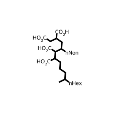 CCCCCCCCCC(CC(CC(=O)O)C(=O)O)C(C(=O)O)C(CCCC(C)CCCCCC)C(=O)O